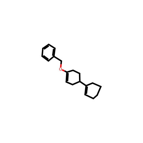 C1=C(OCc2ccccc2)CCC(C2=CCCCC2)C1